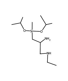 CCNCC(N)C[Si](C)(OC(C)C)OC(C)C